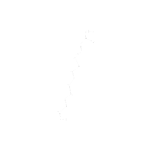 CCCCCCC(C/C=C/CCCCCCCNO)N=O